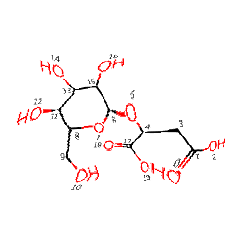 O=C(O)C[C@H](O[C@H]1OC(CO)[C@@H](O)C(O)C1O)C(=O)O